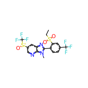 CCS(=O)(=O)c1cc(C(F)(F)F)ccc1-c1nc2cc([S+]([O-])C(F)(F)F)cnc2n1C